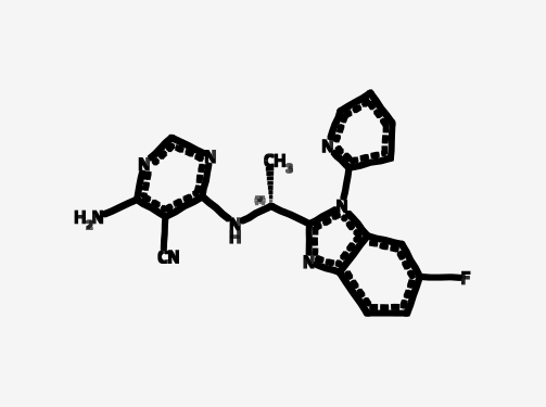 C[C@@H](Nc1ncnc(N)c1C#N)c1nc2ccc(F)cc2n1-c1ccccn1